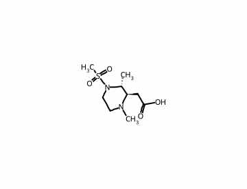 C[C@@H]1[C@@H](CC(=O)O)N(C)CCN1S(C)(=O)=O